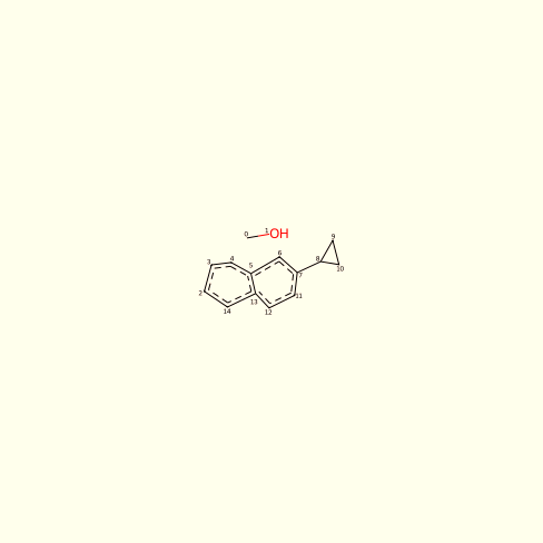 CO.c1ccc2cc(C3CC3)ccc2c1